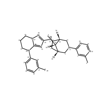 Cc1cc(N2C[C@@H]3CC(C)[C@H](C2)[C@H]3Nc2nc3n(n2)CCCN3c2cccc(F)c2)ncn1